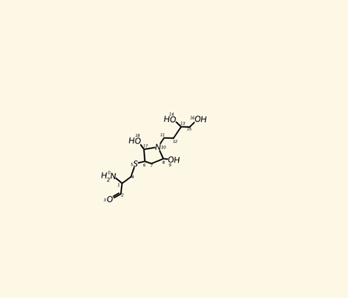 NC(C=O)CSC1CC(O)N(CCC(O)CO)C1O